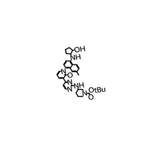 Cc1ccc2c(NC3CCCC3O)cccc2c1Oc1ncccc1-c1ccnc(NC2CCCN(C(=O)OC(C)(C)C)C2)n1